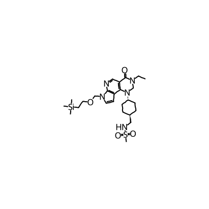 CCN1CN([C@H]2CC[C@H](CNS(C)(=O)=O)CC2)c2c(cnc3c2ccn3COCC[Si](C)(C)C)C1=O